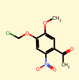 COc1cc(C(C)=O)c([N+](=O)[O-])cc1OCCl